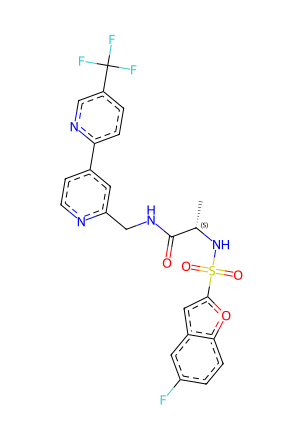 C[C@H](NS(=O)(=O)c1cc2cc(F)ccc2o1)C(=O)NCc1cc(-c2ccc(C(F)(F)F)cn2)ccn1